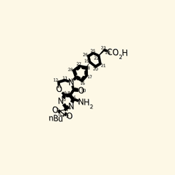 CCCCS(=O)(=O)c1nc(N)c2c(n1)OCCN(c1ccc([C@H]3CC[C@H](CC(=O)O)CC3)cc1)C2=O